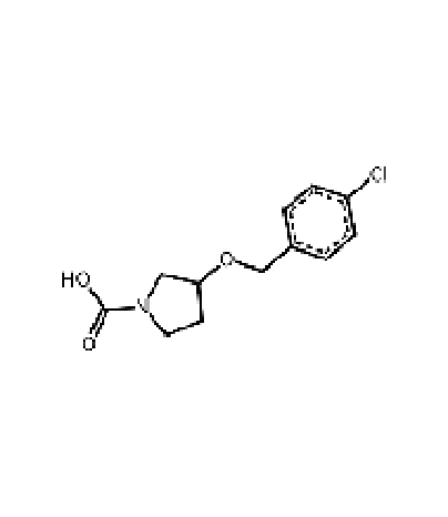 O=C(O)N1CCC(OCc2ccc(Cl)cc2)C1